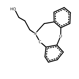 OCCCN1Cc2ccccc2Oc2ccccc2C1